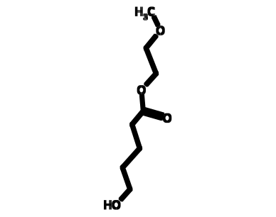 COCCOC(=O)CCCCO